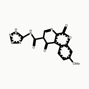 COc1ccc2c3c(c(=O)oc2c1)N=CC(C(=O)Nc1nnn[nH]1)C3=O